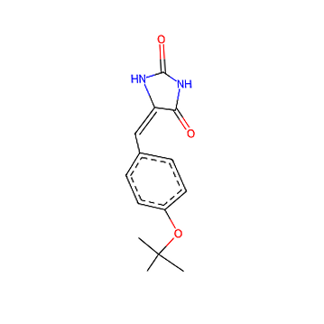 CC(C)(C)Oc1ccc(C=C2NC(=O)NC2=O)cc1